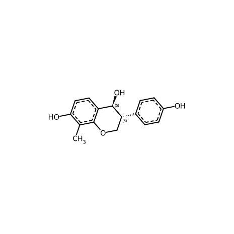 Cc1c(O)ccc2c1OC[C@@H](c1ccc(O)cc1)[C@@H]2O